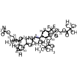 CCCC[C@H](NC(=O)/C=C(\C)c1ccc(C(F)(F)P(=O)(OCOC(=O)C(C)(C)C)OCOC(=O)C(C)(C)C)cc1)C(=O)N1C[C@H]2C[C@H]2[C@H]1C(=O)NCCOC(N)=O